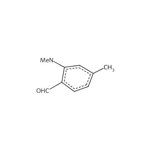 CNc1cc(C)ccc1C=O